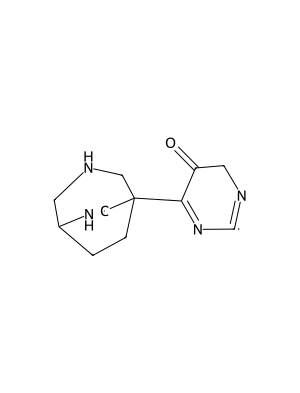 O=C1CN=[C]N=C1C12CCC(CNC1)NC2